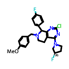 COc1ccc(CN2CCc3c(nc(Cl)nc3N3CC[C@@H](F)C3)C2c2ccc(F)cc2)cc1